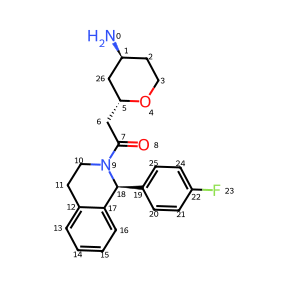 N[C@H]1CCO[C@H](CC(=O)N2CCc3ccccc3[C@@H]2c2ccc(F)cc2)C1